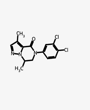 Cc1cnn2c1C(=O)N(c1ccc(Cl)c(Cl)c1)CC2C